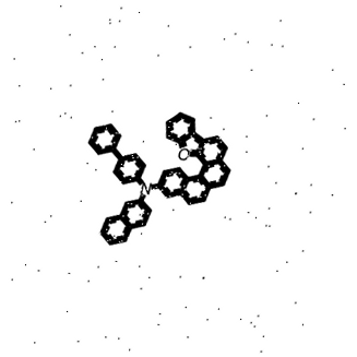 c1ccc(-c2ccc(N(c3ccc4ccccc4c3)c3ccc4c(ccc5ccc6ccc7c8ccccc8oc7c6c54)c3)cc2)cc1